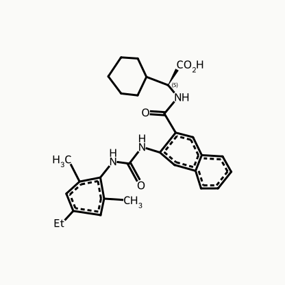 CCc1cc(C)c(NC(=O)Nc2cc3ccccc3cc2C(=O)N[C@H](C(=O)O)C2CCCCC2)c(C)c1